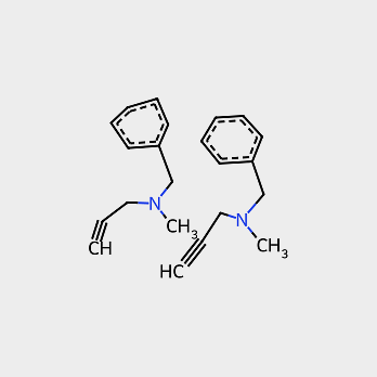 C#CCN(C)Cc1ccccc1.C#CCN(C)Cc1ccccc1